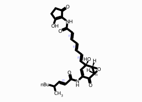 CCCCC(C)/C=C/C(=O)NC1=C[C@](O)(/C=C/C=C/C=C/C(=O)NC2=C(O)CCC2=O)[C@@H]2O[C@@H]2C1=O